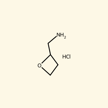 Cl.NCC1CCO1